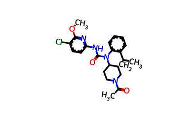 COc1nc(NC(=O)N(c2ccccc2C(C)C)C2CCN(C(C)=O)CC2)ccc1Cl